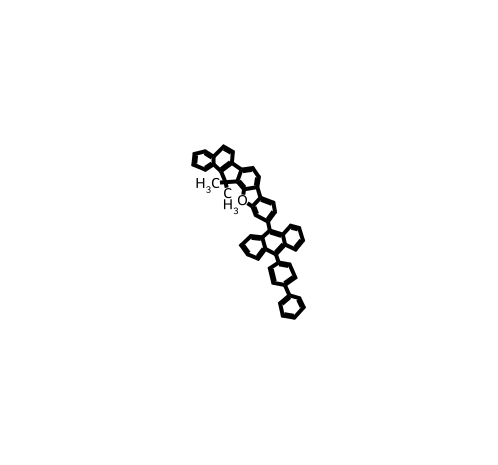 CC1(C)c2c(ccc3ccccc23)-c2ccc3c(oc4cc(-c5c6ccccc6c(-c6ccc(-c7ccccc7)cc6)c6ccccc56)ccc43)c21